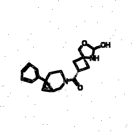 O=C([C@H]1C[C@]2(COC(O)N2)C1)N1CCC2(c3ccccc3)CC2(Cl)C1